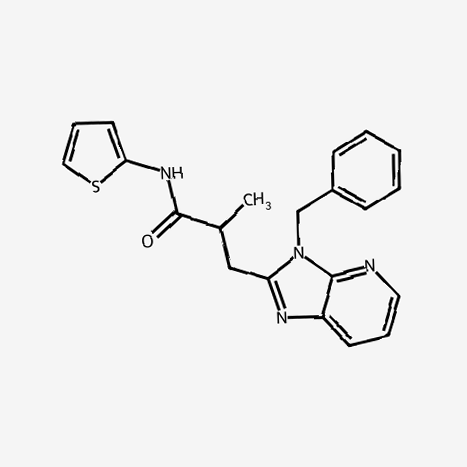 CC(Cc1nc2cccnc2n1Cc1ccccc1)C(=O)Nc1cccs1